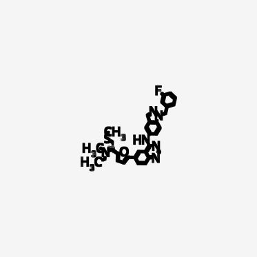 CCN(C)[C@H](CSC)c1ccc(-c2ccc3ncnc(Nc4ccc5c(cnn5Cc5cccc(F)c5)c4)c3c2)o1